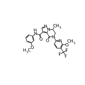 COc1cccc(NC(=O)c2cnn3c2C(=O)N(c2ccc(C(F)(F)F)c(OC)n2)CC3C)c1